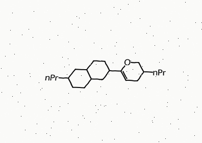 CCCC1CC=C(C2CCC3CC(CCC)CCC3C2)OC1